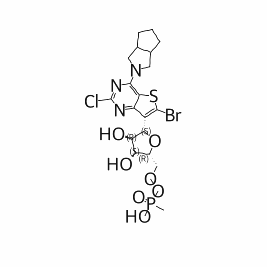 CP(=O)(O)OOC[C@H]1O[C@@H](c2c(Br)sc3c(N4CC5CCCC5C4)nc(Cl)nc23)[C@H](O)[C@@H]1O